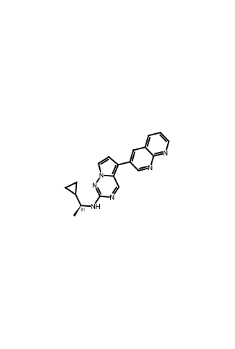 C[C@H](Nc1ncc2c(-c3cnc4ncccc4c3)ccn2n1)C1CC1